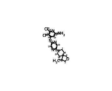 C[C@@H]1COCC12CCN(c1cnc(Sc3cc(N)nc(Cl)c3Cl)cn1)CC2